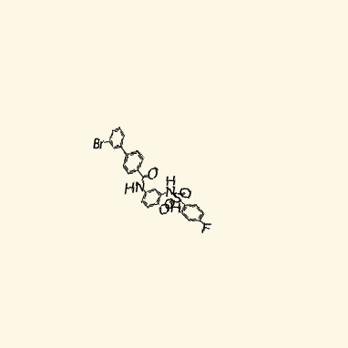 O=C(Nc1ccc(O)c(NS(=O)(=O)c2ccc(F)cc2)c1)c1ccc(-c2cccc(Br)c2)cc1